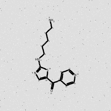 NCCCCCNc1ncc(C(=O)c2ccncc2)s1